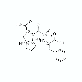 C[C@H](N[C@@H](Cc1ccccc1)C(=O)O)C(=O)N1[C@H](C(=O)O)C[C@@H]2CCC[C@@H]21